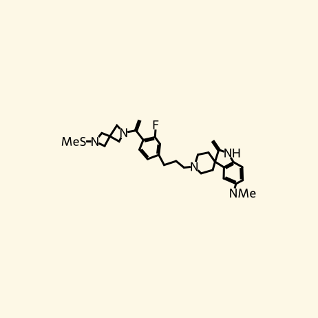 C=C(c1ccc(CCCN2CCC3(CC2)C(=C)Nc2ccc(NC)cc23)cc1F)N1CC2(CN(SC)C2)C1